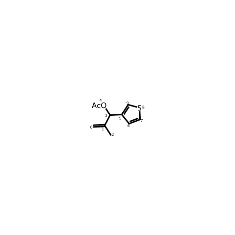 C=C(C)C(OC(C)=O)c1ccsc1